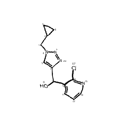 OC(c1cn(CC2CC2)nn1)c1cccnc1Cl